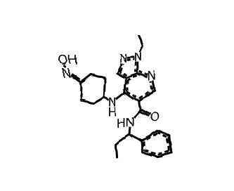 CCC(NC(=O)c1cnc2c(cnn2CC)c1NC1CCC(=NO)CC1)c1ccccc1